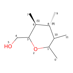 CC1OC(CO)[C@@H](C)[C@H](C)C1C